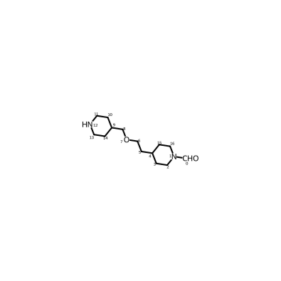 O=CN1CCC(CCOCC2CCNCC2)CC1